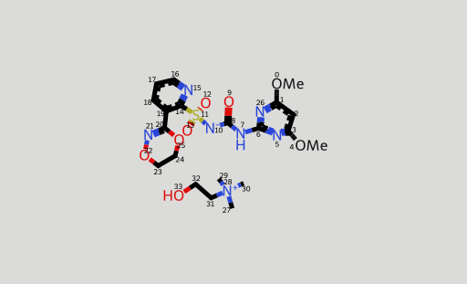 COc1cc(OC)nc(NC(=O)[N-]S(=O)(=O)c2ncccc2C2=NOCCO2)n1.C[N+](C)(C)CCO